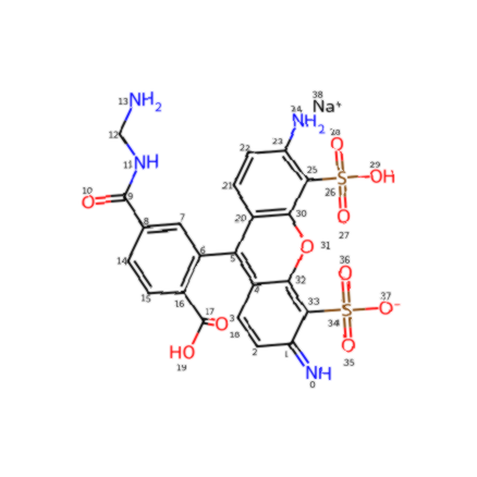 N=c1ccc2c(-c3cc(C(=O)NCN)ccc3C(=O)O)c3ccc(N)c(S(=O)(=O)O)c3oc-2c1S(=O)(=O)[O-].[Na+]